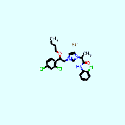 CCCCOC(C[n+]1ccn(C(C)C(=O)Nc2ccccc2Cl)c1)c1ccc(Cl)cc1Cl.[Br-]